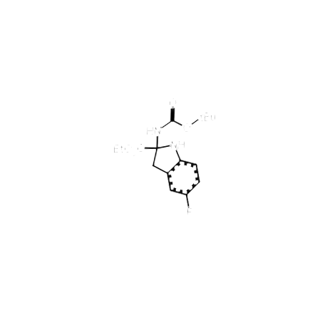 CCOC(=O)C1(NC(=O)OC(C)(C)C)Cc2cc(F)ccc2N1